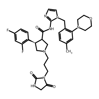 Cc1ccc(Cn2ccnc2NC(=O)C2CN(CCCN3C(=O)CNC3=O)C[C@H]2c2ccc(F)cc2F)c(N2CCOCC2)c1